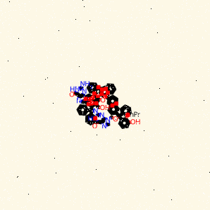 CCCOc1c(O)cccc1C(OCn1cnc2c(=O)[nH]c(N(C(O)C(OCn3cnc4c(=O)[nH]c(N)nc43)C(OC(c3ccccc3)(c3ccccc3)c3ccccc3)C(c3ccccc3)(c3ccccc3)c3ccccc3)C(c3ccccc3)(c3ccccc3)c3ccccc3)nc21)(c1ccccc1)c1ccccc1